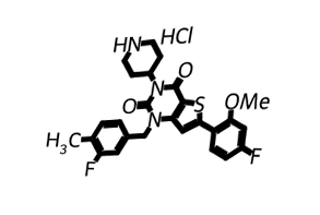 COc1cc(F)ccc1-c1cc2c(s1)c(=O)n(C1CCNCC1)c(=O)n2Cc1ccc(C)c(F)c1.Cl